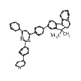 CC1(C)c2cc(-c3ccc(-c4cc(-c5ccccc5)nc(-c5ccc(-c6ccncc6)cc5)n4)cc3)ccc2-c2c1ccc1ccccc21